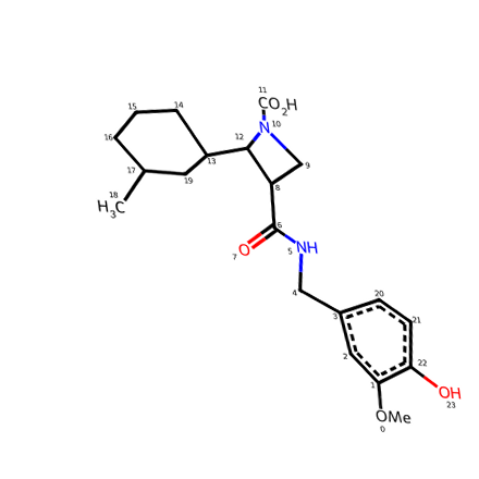 COc1cc(CNC(=O)C2CN(C(=O)O)C2C2CCCC(C)C2)ccc1O